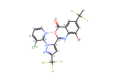 CC(F)(F)c1cc(Br)c2nc(-c3cc(C(F)(F)F)nn3-c3ncccc3Cl)oc(=O)c2c1